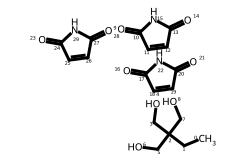 CCC(CO)(CO)CO.O=C1C=CC(=O)N1.O=C1C=CC(=O)N1.O=C1C=CC(=O)N1